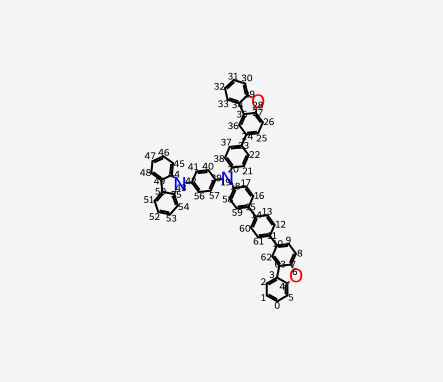 c1ccc2c(c1)oc1ccc(-c3ccc(-c4ccc(N(c5ccc(-c6ccc7oc8ccccc8c7c6)cc5)c5ccc(-n6c7ccccc7c7ccccc76)cc5)cc4)cc3)cc12